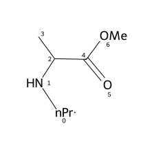 CC[CH]NC(C)C(=O)OC